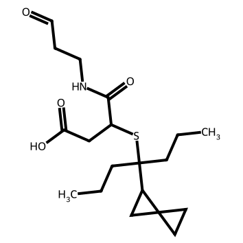 CCCC(CCC)(SC(CC(=O)O)C(=O)NCCC=O)C1CC12CC2